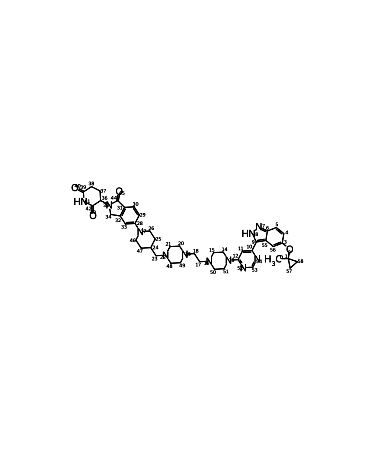 CC1(Oc2ccc3n[nH]c(-c4cc(N5CCN(CCN6CCN(CC7CCN(c8ccc9c(c8)CN(C8CCC(=O)NC8=O)C9=O)CC7)CC6)CC5)ncn4)c3c2)CC1